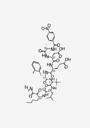 CCCC[C@H](NC(=O)[C@H](CC(C)C)NC(=O)[C@@H](NC(=O)[C@H](Cc1ccccc1C)NC(=O)[C@H](CCC(=O)O)NC(=O)[C@H](CC(=O)O)NC(=O)[C@H](C)NC(=O)c1ccc([N+](=O)[O-])cc1)C(C)(C)C)C(=O)C(N)=O